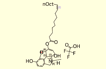 CCCCCCCC/C=C\CCCCCCCC(=O)OC1=CC[C@@]2(O)[C@H]3Cc4ccc(O)c5c4[C@@]2(CCN3C)[C@H]1O5.O=C(O)C(F)(F)F